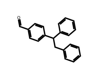 O=Cc1ccc(C(Cc2ccccc2)c2ccccc2)cc1